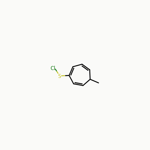 CC1C=CC=C(SCl)C=C1